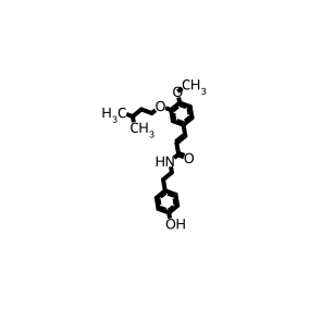 COc1ccc(C=CC(=O)NCCc2ccc(O)cc2)cc1OCCC(C)C